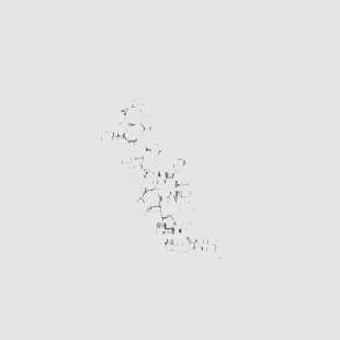 CC(C)Oc1ccc(C(=O)N[C@H](CNC(=O)[C@@H](C)N)Cc2ccc(-c3cn(CCN)c(C(C)(C)C)n3)cc2)cc1Cl